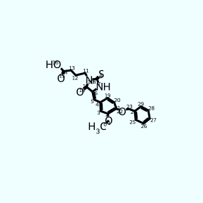 COc1cc(/C=C2\NC(=S)N(CCCC(=O)O)C2=O)ccc1OCc1ccccc1